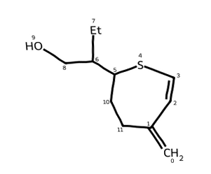 C=C1C=CSC(C(CC)CO)CC1